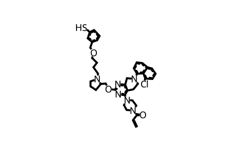 C=CC(=O)N1CCN(c2nc(OCC3CCCN3CCCCOCc3cccc(S)c3)nc3c2CCN(c2cccc4cccc(Cl)c24)C3)CC1